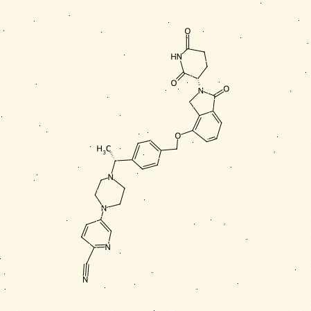 C[C@H](c1ccc(COc2cccc3c2CN([C@H]2CCC(=O)NC2=O)C3=O)cc1)N1CCN(c2ccc(C#N)nc2)CC1